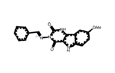 COc1ccc2[nH]c3c(=O)n(/N=C/c4ccccc4)c(=O)[nH]c3c2c1